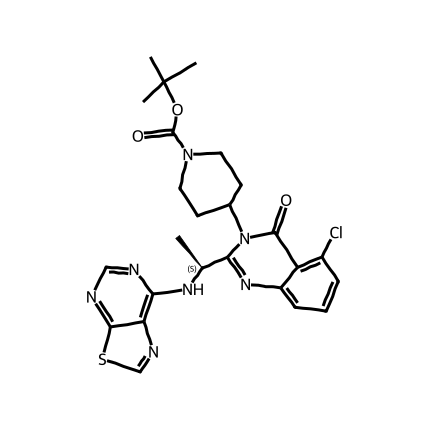 C[C@H](Nc1ncnc2scnc12)c1nc2cccc(Cl)c2c(=O)n1C1CCN(C(=O)OC(C)(C)C)CC1